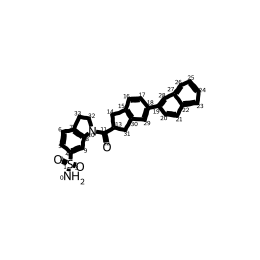 NS(=O)(=O)c1ccc2c(c1)N(C(=O)C1Cc3ccc(-c4ccc5ccccc5c4)cc3C1)CC2